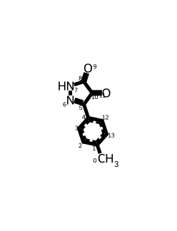 Cc1ccc(C2=NNC(=O)C2=O)cc1